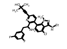 CCNc1nn(C)c2c(-c3ccc(C#CC(C)(C)O)nc3C(N)Cc3cc(F)cc(F)c3)ccc(Cl)c12